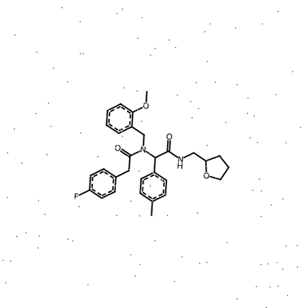 COc1ccccc1CN(C(=O)Cc1ccc(F)cc1)C(C(=O)NCC1CCCO1)c1ccc(C)cc1